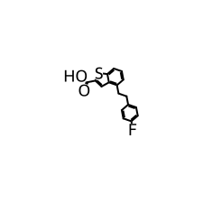 O=C(O)c1cc2c(CCc3ccc(F)cc3)cccc2s1